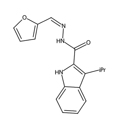 CC(C)c1c(C(=O)N/N=C\c2ccco2)[nH]c2ccccc12